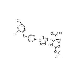 CC(C)(C)OC(=O)NC(Cn1nnc(-c2ccc(Oc3ncc(Cl)cc3F)cc2)n1)C1(C(=O)O)CC1